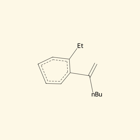 C=C(CCCC)c1ccccc1CC